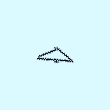 CCCCCCCCCCCCCCCC(=O)OC(=O)CCCCCCCCCCCCCCC.CCCCCCCCCCCCCCCCC(CCCCCCCCCCCCCC)C(=O)O